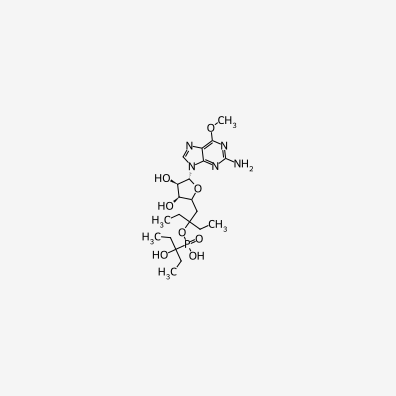 CCC(CC)(CC1O[C@@H](n2cnc3c(OC)nc(N)nc32)[C@H](O)[C@@H]1O)OP(=O)(O)C(O)(CC)CC